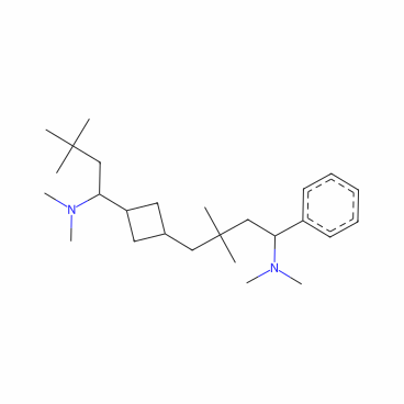 CN(C)C(CC(C)(C)CC1CC(C(CC(C)(C)C)N(C)C)C1)c1ccccc1